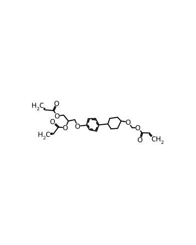 C=CC(=O)OCOC1CCC(c2ccc(OCC(COC(=O)C=C)OC(=O)C=C)cc2)CC1